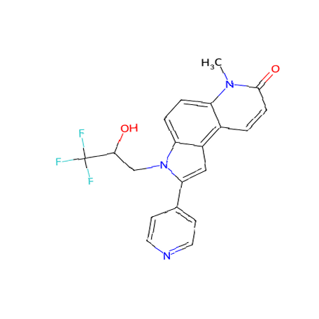 Cn1c(=O)ccc2c3cc(-c4ccncc4)n(CC(O)C(F)(F)F)c3ccc21